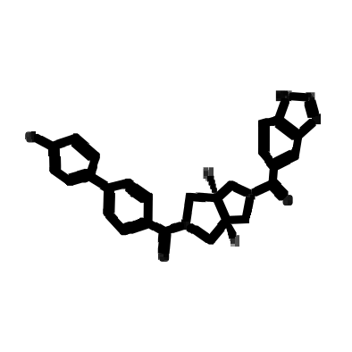 O=C(c1ccc(-c2ccc(Cl)cc2)cc1)N1C[C@H]2CN(C(=O)c3ccc4[nH]nnc4c3)C[C@@H]2C1